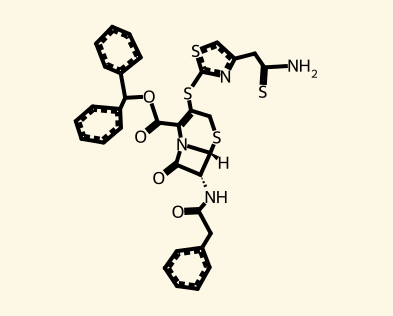 NC(=S)Cc1csc(SC2=C(C(=O)OC(c3ccccc3)c3ccccc3)N3C(=O)[C@@H](NC(=O)Cc4ccccc4)[C@H]3SC2)n1